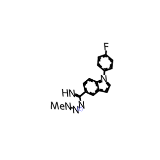 CN/N=N\C(=N)c1ccc2c(ccn2-c2ccc(F)cc2)c1